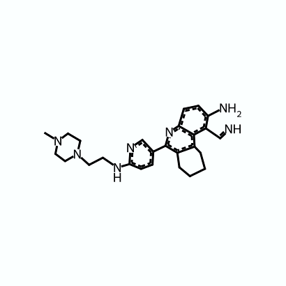 CN1CCN(CCNc2ccc(-c3nc4ccc(N)c(C=N)c4c4c3CCCC4)cn2)CC1